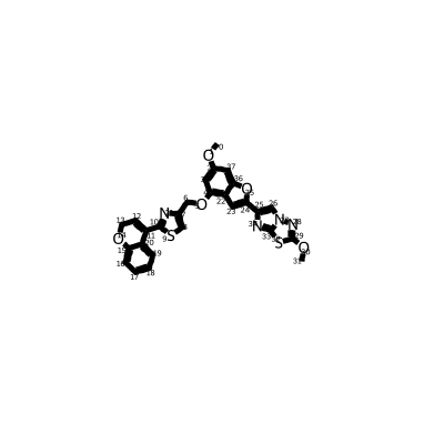 COc1cc(OCc2csc(C3=CCOc4ccccc43)n2)c2cc(-c3cn4nc(OC)sc4n3)oc2c1